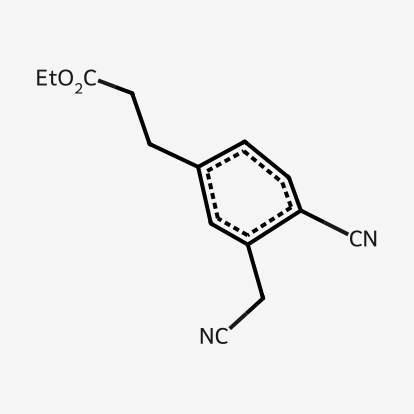 CCOC(=O)CCc1ccc(C#N)c(CC#N)c1